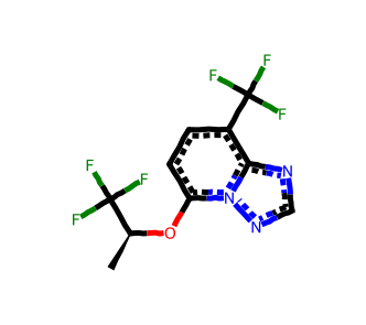 C[C@H](Oc1ccc(C(F)(F)F)c2ncnn12)C(F)(F)F